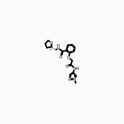 Cn1cc(NC(=O)COc2ccccc2C(=O)NC[C@@H]2CCCO2)cn1